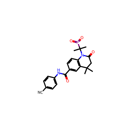 CC1(C)CC(=O)N(C(C)(C)P(=O)=O)c2ccc(C(=O)Nc3ccc(C#N)cc3)cc21